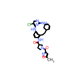 Cc1cc(C(=O)N2CCC(C(=O)Nc3ccc4cc3CCC3C=CC=C(C3)Nc3ncc(Cl)c(n3)N4)C2)no1